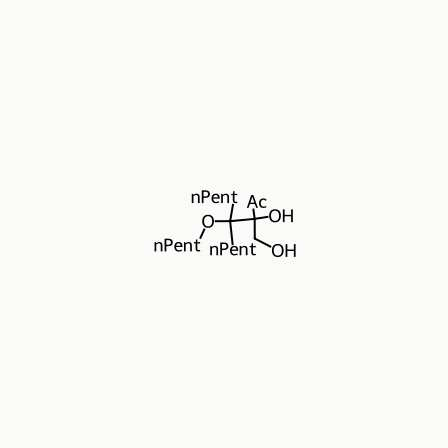 CCCCCOC(CCCCC)(CCCCC)C(O)(CO)C(C)=O